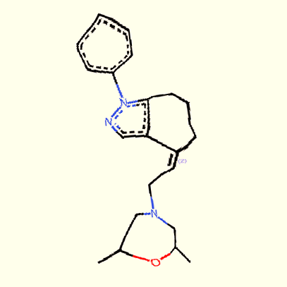 CC1CN(C/C=C2/CCCc3c2cnn3-c2ccccc2)CC(C)O1